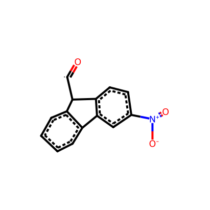 O=[C]C1c2ccccc2-c2cc([N+](=O)[O-])ccc21